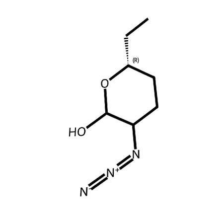 CC[C@@H]1CCC(N=[N+]=[N-])C(O)O1